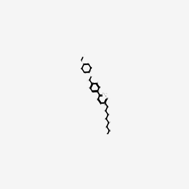 CCCCCCCCc1ccc(-c2ccc(CC[C@H]3CC[C@H](CC)CC3)cc2)nc1